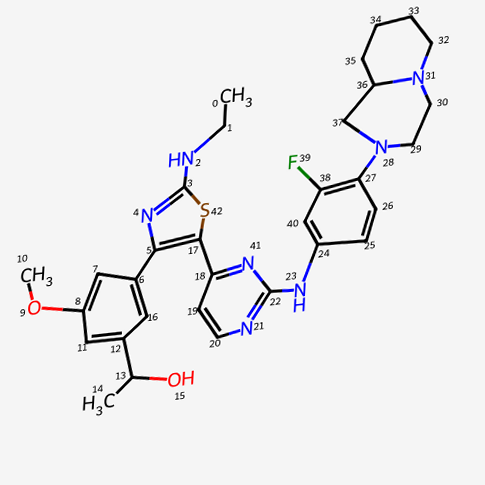 CCNc1nc(-c2cc(OC)cc(C(C)O)c2)c(-c2ccnc(Nc3ccc(N4CCN5CCCCC5C4)c(F)c3)n2)s1